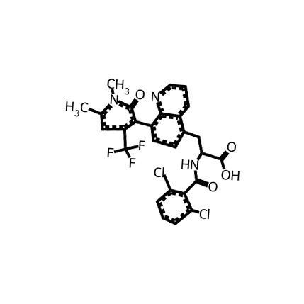 Cc1cc(C(F)(F)F)c(-c2ccc(CC(NC(=O)c3c(Cl)cccc3Cl)C(=O)O)c3cccnc23)c(=O)n1C